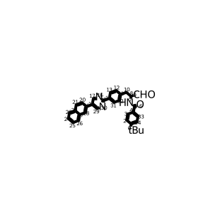 CC(C)(C)c1ccc(C(=O)NC(C=O)Cc2ccc(-c3ncc(-c4ccc5ccccc5c4)cn3)cc2)cc1